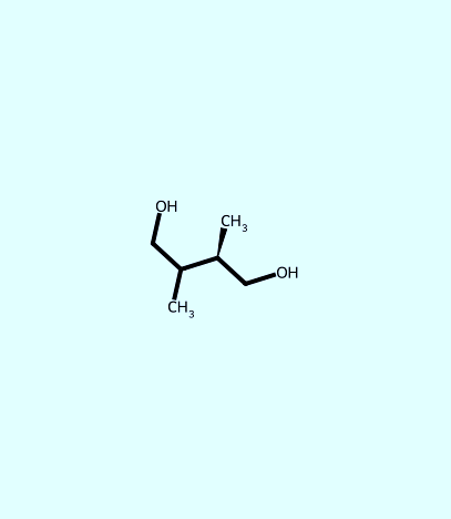 C[C](CO)[C@@H](C)CO